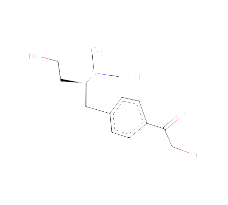 CC(C)(C)N(C(=O)O)[C@H](CCO)Cc1ccc(C(=O)CBr)cc1